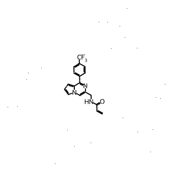 C=CC(=O)NCc1cn2cccc2c(-c2ccc(C(F)(F)F)cc2)n1